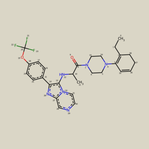 CCC1=C(N2CCN(C(=O)C(C)Nc3c(-c4ccc(OC(F)(F)F)cc4)nc4cnccn34)CC2)C=CCC1